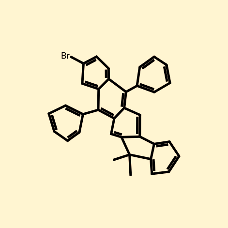 CC1(C)c2ccccc2-c2cc3c(-c4ccccc4)c4ccc(Br)cc4c(-c4ccccc4)c3cc21